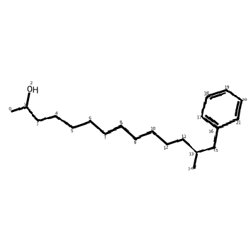 CC(O)CCCCCCCCCCC(C)Cc1ccccc1